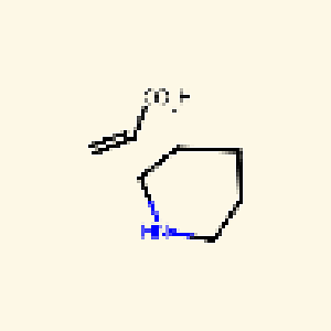 C1CCNCC1.C=CC(=O)O